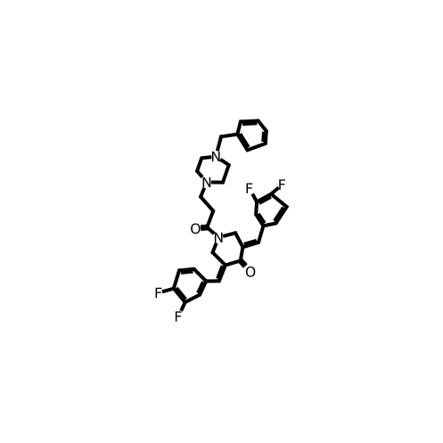 O=C1/C(=C/c2ccc(F)c(F)c2)CN(C(=O)CCN2CCN(Cc3ccccc3)CC2)C/C1=C\c1ccc(F)c(F)c1